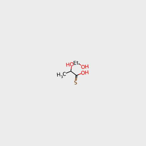 CC(O)C(O)=S.CCO